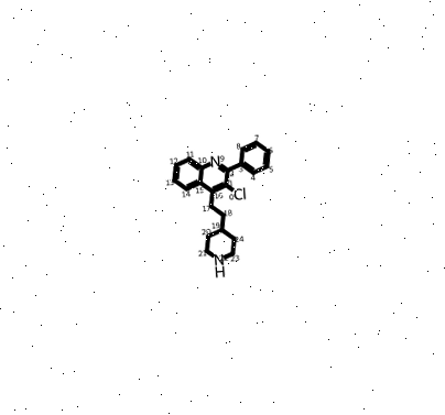 Clc1c(-c2ccccc2)nc2ccccc2c1CCC1CCNCC1